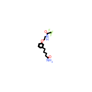 NC(=O)CCCCc1cccc(OCCNC(=O)C(F)(F)F)c1